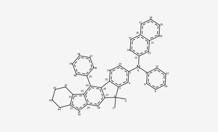 CC1(C)c2cc(N(c3ccccc3)c3ccc4ccccc4c3)ccc2-c2c1cc1sc3c(c1c2-c1ccccc1)CCCC3